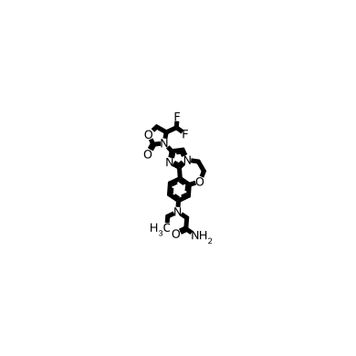 CCN(CC(N)=O)c1ccc2c(c1)OCCn1cc(N3C(=O)OCC3C(F)F)nc1-2